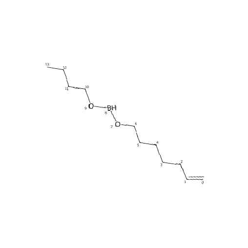 C=CCCCCCOBOCCCC